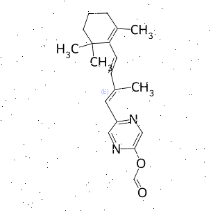 CC1=C(C=C/C(C)=C/c2cnc(OC=O)cn2)C(C)(C)CCC1